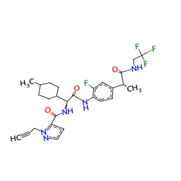 C#CCn1nccc1C(=O)N[C@H](C(=O)Nc1ccc(C(C)C(=O)NCC(F)(F)F)cc1F)C1CCC(C)CC1